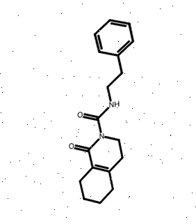 O=C(NCCc1ccccc1)N1CCC2=C(CCCC2)C1=O